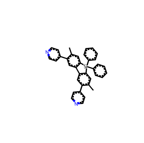 Cc1cc2c(cc1-c1ccncc1)-c1cc(-c3ccncc3)c(C)cc1[Si]2(c1ccccc1)c1ccccc1